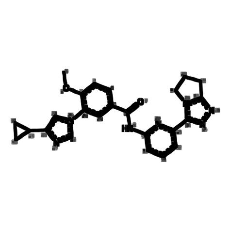 COc1ccc(C(=O)Nc2cccc(-c3nnc4n3CCC4)n2)cc1-n1cnc(C2CC2)c1